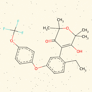 CCc1ccc(Oc2ccc(OC(F)(F)F)cc2)cc1C1=C(O)C(C)(C)OC(C)(C)C1=O